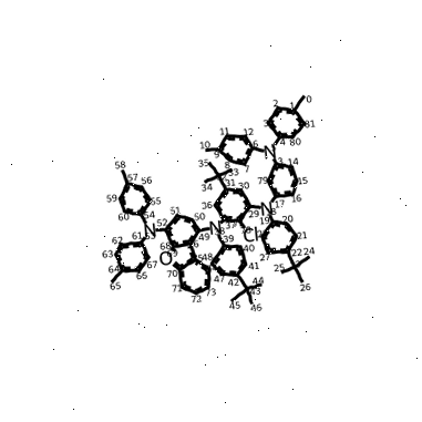 Cc1ccc(N(c2ccc(C)cc2)c2cccc(N(c3ccc(C(C)(C)C)cc3)c3cc(C(C)(C)C)cc(N(c4ccc(C(C)(C)C)cc4)c4ccc(N(c5ccc(C)cc5)c5ccc(C)cc5)c5oc6ccccc6c45)c3Cl)c2)cc1